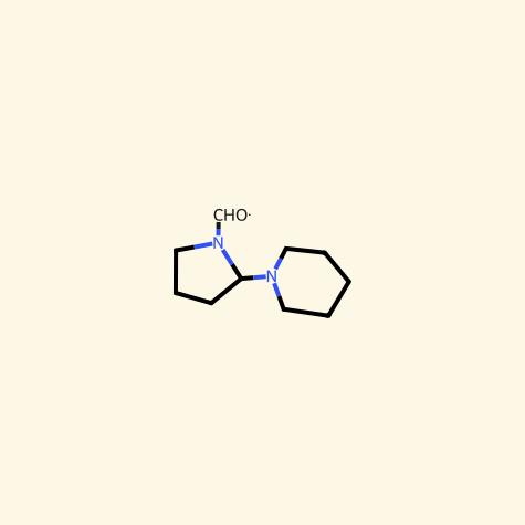 O=[C]N1CCCC1N1CCCCC1